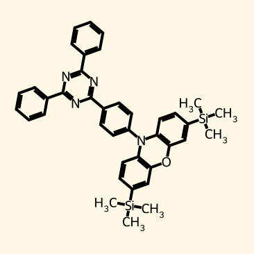 C[Si](C)(C)c1ccc2c(c1)Oc1cc([Si](C)(C)C)ccc1N2c1ccc(-c2nc(-c3ccccc3)nc(-c3ccccc3)n2)cc1